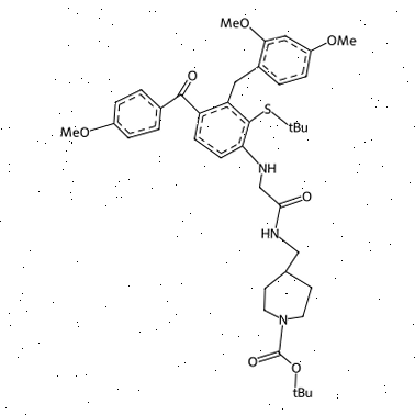 COc1ccc(C(=O)c2ccc(NCC(=O)NCC3CCN(C(=O)OC(C)(C)C)CC3)c(SC(C)(C)C)c2Cc2ccc(OC)cc2OC)cc1